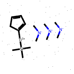 C[N-]C.C[N-]C.C[N-]C.C[Si](C)(C)[Ti+3][C]1=CC=CC1